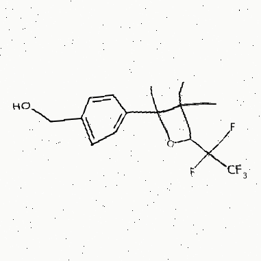 CC1(c2ccc(CO)cc2)OC(C(F)(F)C(F)(F)F)C1(C)C